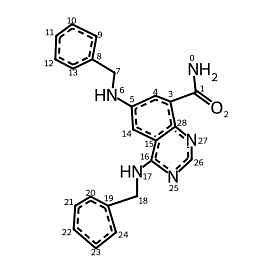 NC(=O)c1cc(NCc2ccccc2)cc2c(NCc3ccccc3)ncnc12